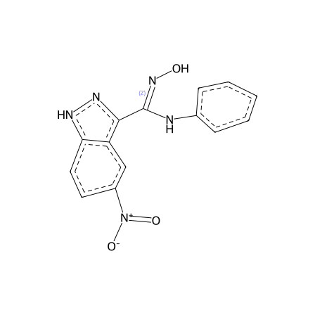 O=[N+]([O-])c1ccc2[nH]nc(/C(=N/O)Nc3ccccc3)c2c1